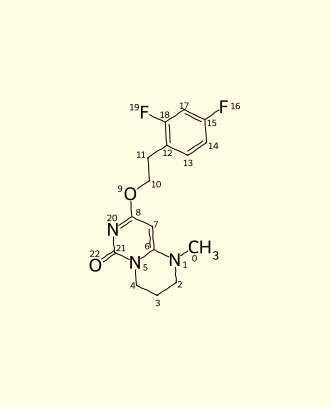 CN1CCCn2c1cc(OCCc1ccc(F)cc1F)nc2=O